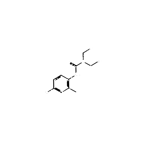 Cc1cc([N+](=O)[O-])ccc1NC(=O)N(CC(C)C)CC(C)C